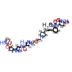 CC(C)NC(=O)O[C@@H]1CC[C@H](c2cc(NC(=O)c3cnn(CCOCCN4CCC(CC#Cc5cccc6c5n(C)c(=O)n6C5CCC(=O)NC5=O)CC4)c3)n[nH]2)C1